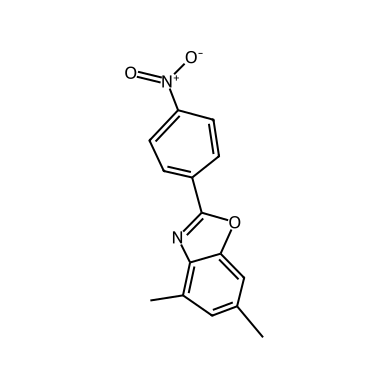 Cc1cc(C)c2nc(-c3ccc([N+](=O)[O-])cc3)oc2c1